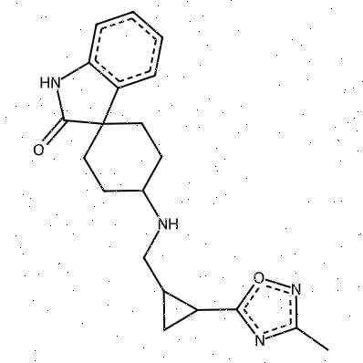 Cc1noc(C2CC2CNC2CCC3(CC2)C(=O)Nc2ccccc23)n1